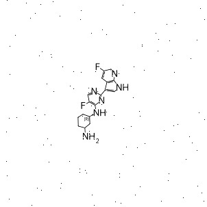 NC1CCC[C@@H](Nc2nc(-c3c[nH]c4ncc(F)cc34)ncc2F)C1